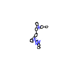 c1ccc(-c2ccc(-n3c4ccccc4c4ccc(-c5ccc6c(c5)c5ccccc5n6-c5cnc6c(n5)-c5ccccc5C6)cc43)cc2)cc1